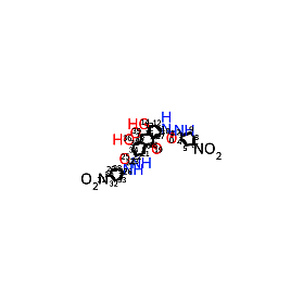 O=C(Nc1ccc([N+](=O)[O-])cc1)Nc1cc(O)c2c(c1)C(=O)c1cc(NC(=O)Nc3ccc([N+](=O)[O-])cc3)cc(O)c1C2=O